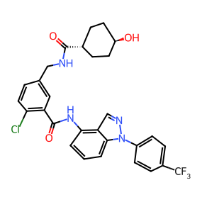 O=C(Nc1cccc2c1cnn2-c1ccc(C(F)(F)F)cc1)c1cc(CNC(=O)[C@H]2CC[C@H](O)CC2)ccc1Cl